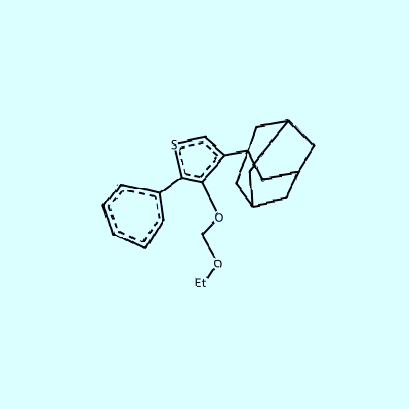 CCOCOc1c(C23CC4CC(CC(C4)C2)C3)csc1-c1[c]cccc1